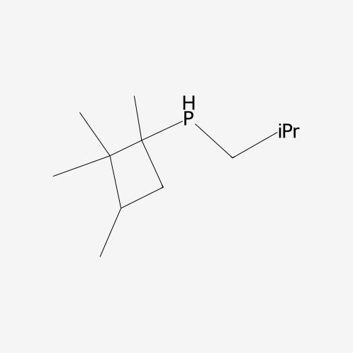 CC(C)CPC1(C)CC(C)C1(C)C